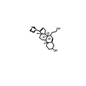 C[C@]12CCC(O)CC1=CC(CCO)[C@@H]1[C@@H]2CC[C@]2(C)C(n3ccnc3)=CC[C@@H]12